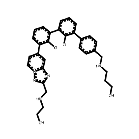 OCCCNCc1ccc(-c2cccc(-c3cccc(-c4ccn5nc(CNCCO)nc5c4)c3Cl)c2Cl)cc1